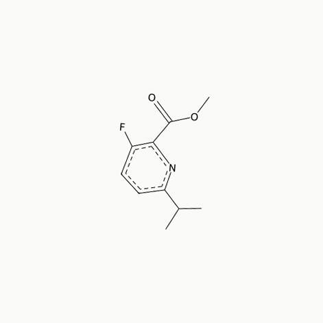 COC(=O)c1nc(C(C)C)ccc1F